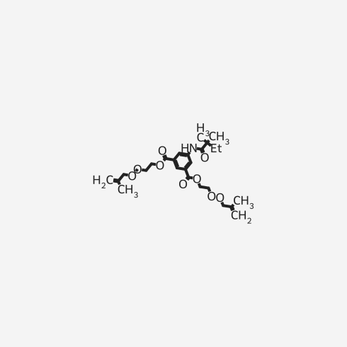 C=C(C)COOCCOC(=O)c1cc(NC(=O)C(C)(C)CC)cc(C(=O)OCCOOCC(=C)C)c1